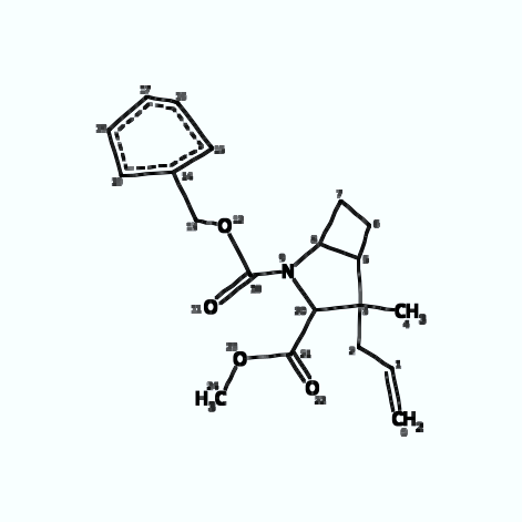 C=CCC1(C)C2CCC2N(C(=O)OCc2ccccc2)C1C(=O)OC